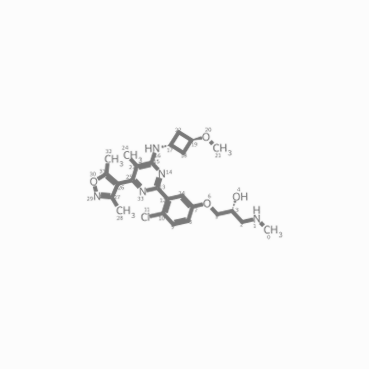 CNC[C@@H](O)COc1ccc(Cl)c(-c2nc(N[C@H]3C[C@H](OC)C3)c(C)c(-c3c(C)noc3C)n2)c1